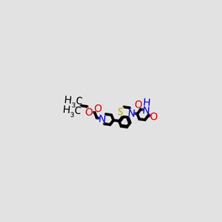 CC(C)COC(=O)CN1CCC(c2cccc3c2SCCN3C2CCC(=O)NC2=O)CC1